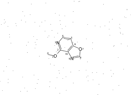 COc1nccc2ocnc12